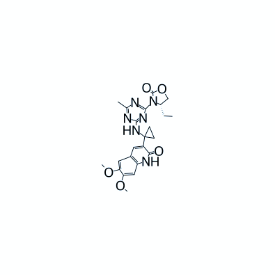 CC[C@H]1COC(=O)N1c1nc(C)nc(NC2(c3cc4cc(OC)c(OC)cc4[nH]c3=O)CC2)n1